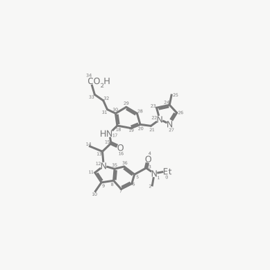 CCN(C)C(=O)c1ccc2c(C)cn(C(C)C(=O)Nc3cc(Cn4cc(C)cn4)ccc3CCCC(=O)O)c2c1